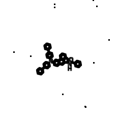 c1ccc(-c2ccc(N(c3ccc(-c4ccccc4)cc3)c3ccc4cc5c6c(cccc6c4c3)C3=C5NC(c4ccccc4)O3)cc2)cc1